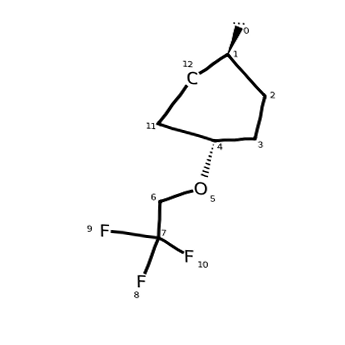 [C][C@H]1CC[C@H](OCC(F)(F)F)CC1